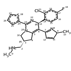 CNC[C@H]1CC2=C(C3=NC(C)C=C3)[C@H](c3ccc(F)cc3Cl)N=C(c3cccs3)N2C1